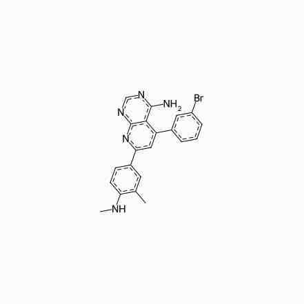 CNc1ccc(-c2cc(-c3cccc(Br)c3)c3c(N)ncnc3n2)cc1C